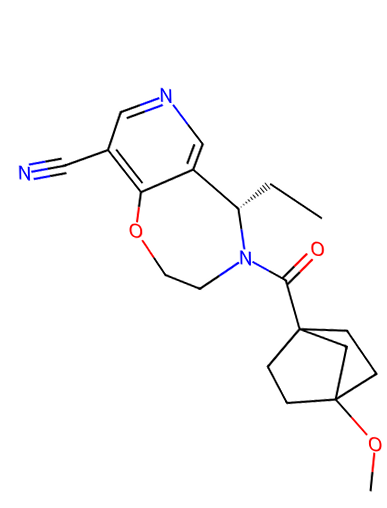 CC[C@H]1c2cncc(C#N)c2OCCN1C(=O)C12CCC(OC)(CC1)C2